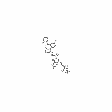 Cc1ncc(CNC(=O)[C@H](CCCCNC(=O)OC(C)(C)C)NC(=O)OC(C)(C)C)n1-c1ccc(Cl)cc1C(=O)c1ccccc1F